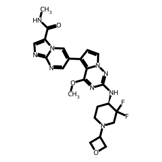 CNC(=O)c1cnc2ncc(-c3ccn4nc(N[C@@H]5CCN(C6COC6)CC5(F)F)nc(OC)c34)cn12